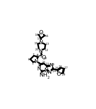 Nc1nc(N2CCC[C@H]2C(=O)N2CCN(C3COC3)CC2)cc2nc(-c3ccco3)nn12